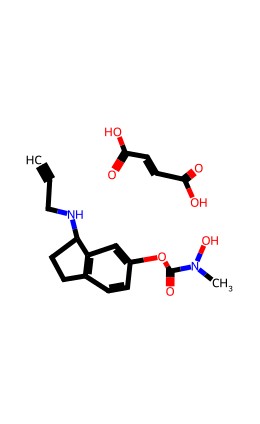 C#CCNC1CCc2ccc(OC(=O)N(C)O)cc21.O=C(O)/C=C/C(=O)O